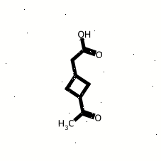 CC(=O)C1CC(CC(=O)O)C1